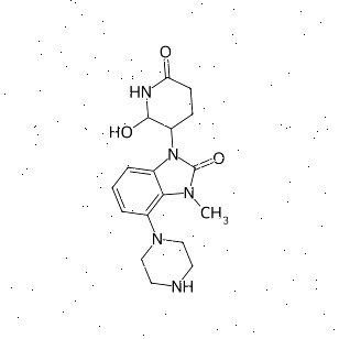 Cn1c(=O)n(C2CCC(=O)NC2O)c2cccc(N3CCNCC3)c21